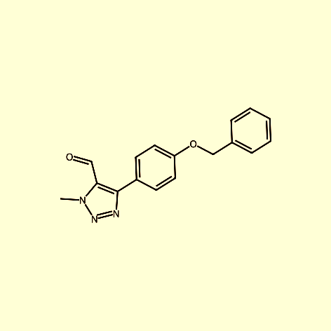 Cn1nnc(-c2ccc(OCc3ccccc3)cc2)c1C=O